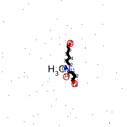 CN(CCCCCC=O)C(=O)/C=C\C=O